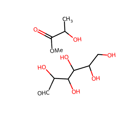 COC(=O)C(C)O.O=CC(O)C(O)C(O)C(O)CO